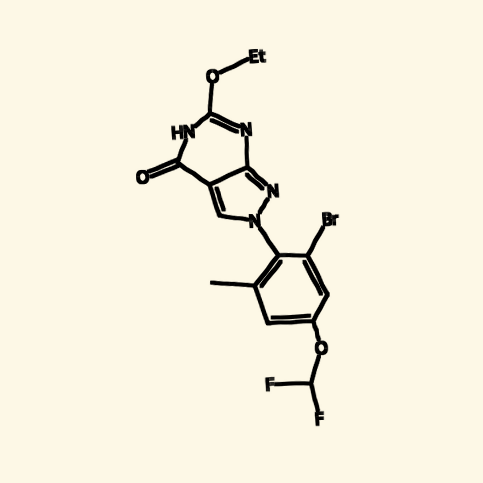 CCOc1nc2nn(-c3c(C)cc(OC(F)F)cc3Br)cc2c(=O)[nH]1